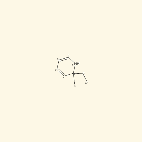 C[CH]C1(I)C=CC=CN1